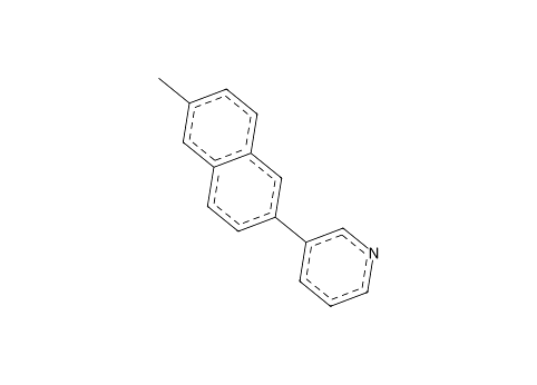 Cc1ccc2cc(-c3cccnc3)ccc2c1